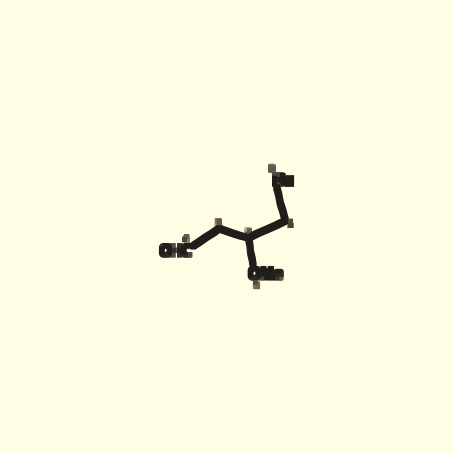 CCC(C)CC(CC=O)OC